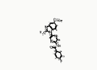 COc1ccc2c(c1)nc(C(F)(F)F)n2-c1cnc(NC(=O)C2C=CC(F)=CC2)cn1